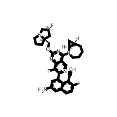 C#Cc1c(F)ccc2cc(N)cc(-c3ncc4c(N5CCCC[C@@H]6C[C@@H]65)nc(OC[C@@]56CCCN5C[C@H](F)C6)nc4c3F)c12